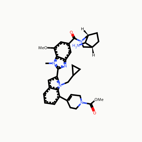 COC(=O)N1CC=C(c2cccc3cc(-c4nc5cc(C(=O)N6C[C@H]7CC[C@@H]6C7N)cc(OC)c5n4C)n(CC4CC4)c23)CC1